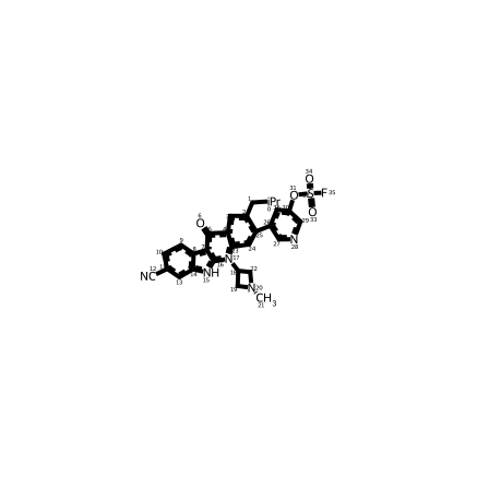 CC(C)Cc1cc2c(=O)c3c4ccc(C#N)cc4[nH]c3n(C3CN(C)C3)c2cc1-c1cncc(OS(=O)(=O)F)c1